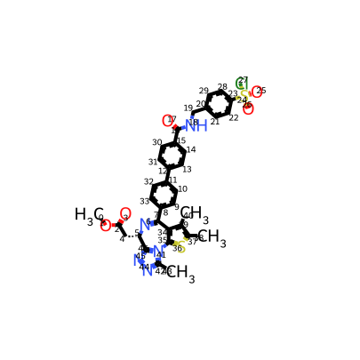 COC(=O)C[C@@H]1N=C(c2ccc(-c3ccc(C(=O)NCc4ccc(S(=O)(=O)Cl)cc4)cc3)cc2)c2c(sc(C)c2C)-n2c(C)nnc21